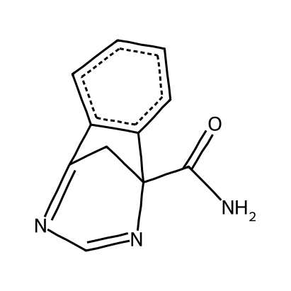 NC(=O)C12CC(=NC=N1)c1ccccc12